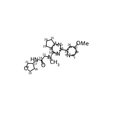 COc1ccnc(-c2nc3c(c(N(C)CC(=O)N[C@H]4CCOC4)n2)CCC3)c1